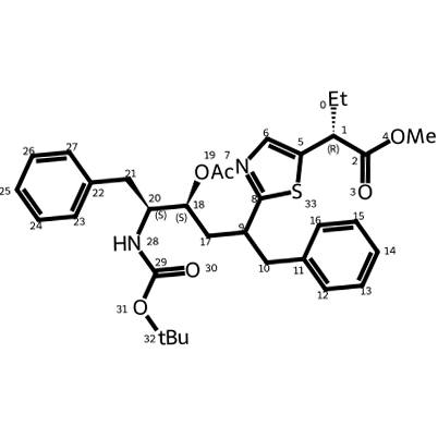 CC[C@H](C(=O)OC)c1cnc(C(Cc2ccccc2)C[C@H](OC(C)=O)[C@H](Cc2ccccc2)NC(=O)OC(C)(C)C)s1